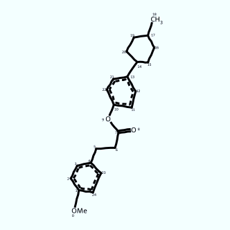 COc1ccc(CCC(=O)Oc2ccc(C3CCC(C)CC3)cc2)cc1